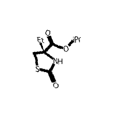 CC[C@]1(C(=O)OC(C)C)CSC(=O)N1